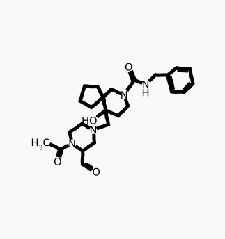 CC(=O)N1CCN(CC2(O)CCN(C(=O)NCc3ccccc3)CC23CCCC3)CC1C=O